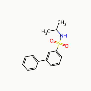 CC(C)NS(=O)(=O)c1cccc(-c2ccccc2)c1